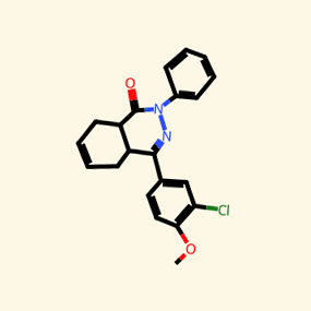 COc1ccc(C2=NN(c3ccccc3)C(=O)C3CC=CCC23)cc1Cl